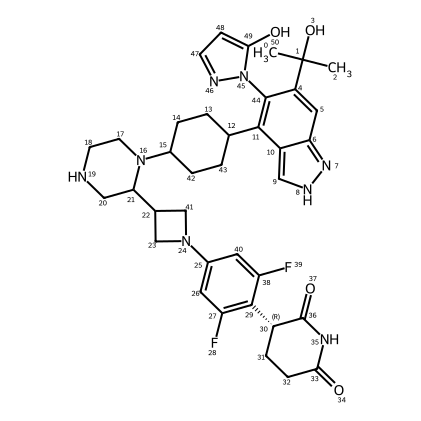 CC(C)(O)c1cc2n[nH]cc2c(C2CCC(N3CCNCC3C3CN(c4cc(F)c([C@H]5CCC(=O)NC5=O)c(F)c4)C3)CC2)c1-n1nccc1O